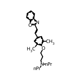 CCCN(CCC)CCCOc1c(C)cc(C=Cc2nc3ccccc3o2)cc1C